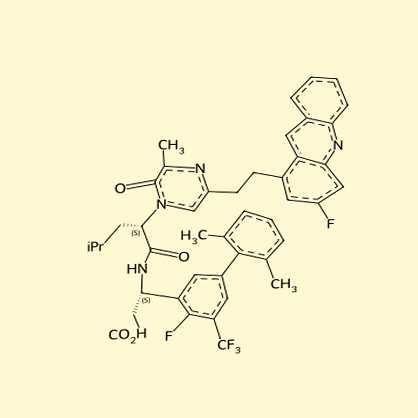 Cc1cccc(C)c1-c1cc([C@H](CC(=O)O)NC(=O)[C@H](CC(C)C)n2cc(CCc3cc(F)cc4nc5ccccc5cc34)nc(C)c2=O)c(F)c(C(F)(F)F)c1